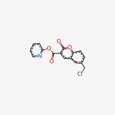 O=C(Oc1ccccn1)c1cc2cc(CCl)ccc2oc1=O